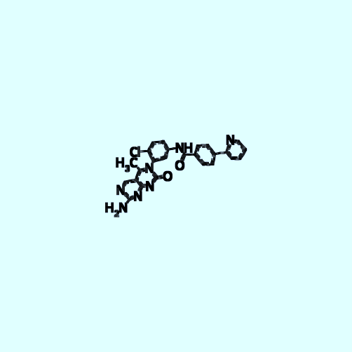 Cc1c2cnc(N)nc2nc(=O)n1-c1cc(NC(=O)c2ccc(-c3ccccn3)cc2)ccc1Cl